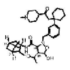 CC(O)[C@@H]1C(O)ON(Cc2cccc(C3(CC(=O)C4CCN(C)CC4)CCCCC3)c2)[C@@H]1C(=O)N[C@H]1C[C@H]2C[C@@H](C1C)C2(C)C